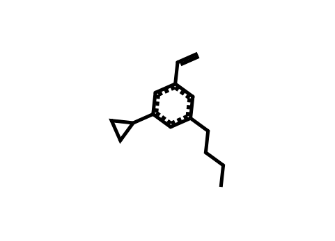 C=Cc1cc(CCCC)cc(C2CC2)c1